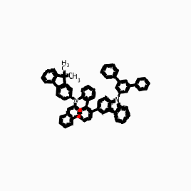 CC1(C)c2ccccc2-c2ccc(N(c3ccc4ccccc4c3)c3ccccc3-c3ccccc3-c3ccc4c(c3)c3ccccc3n4-c3cc(-c4ccccc4)cc(-c4ccccc4)c3)cc21